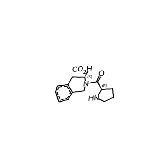 O=C(O)[C@@H]1Cc2ccccc2CN1C(=O)[C@H]1CCCN1